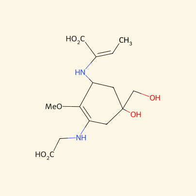 CC=C(NC1CC(O)(CO)CC(NCC(=O)O)=C1OC)C(=O)O